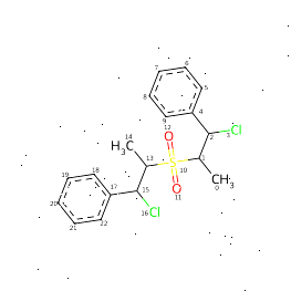 CC(C(Cl)c1ccccc1)S(=O)(=O)C(C)C(Cl)c1ccccc1